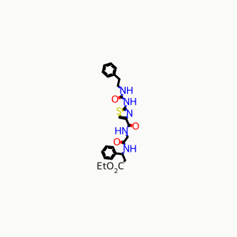 CCOC(=O)CC(NC(=O)CNC(=O)c1csc(NC(=O)NCCc2ccccc2)n1)c1ccccc1